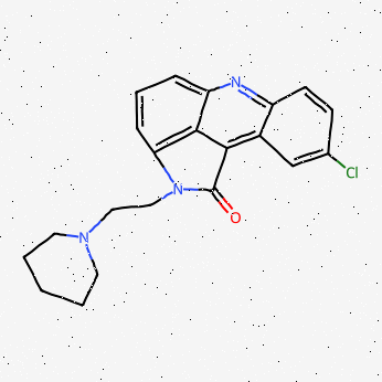 O=C1c2c3cc(Cl)ccc3nc3cccc(c23)N1CCN1CCCCC1